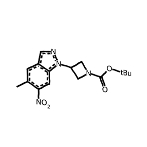 Cc1cc2cnn(C3CN(C(=O)OC(C)(C)C)C3)c2cc1[N+](=O)[O-]